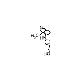 CCc1cncc2cccc(NC3CCN(CCCO)CC3)c12